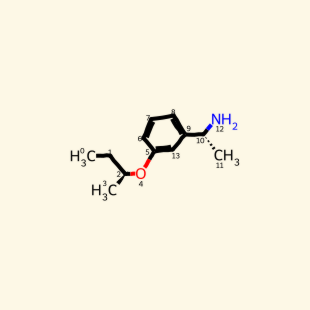 CC[C@H](C)Oc1cccc([C@@H](C)N)c1